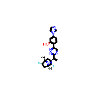 [2H][C@]12C[C@@H](C(=C)c3ncc(-c4ccc(-n5ccnc5)cc4O)nn3)[C@H](F)[C@]([2H])(C[C@H]1F)N2